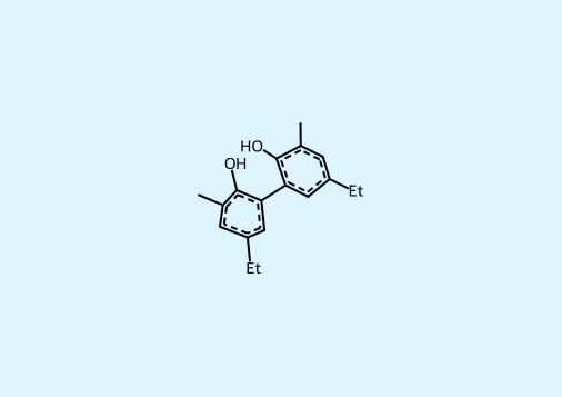 CCc1cc(C)c(O)c(-c2cc(CC)cc(C)c2O)c1